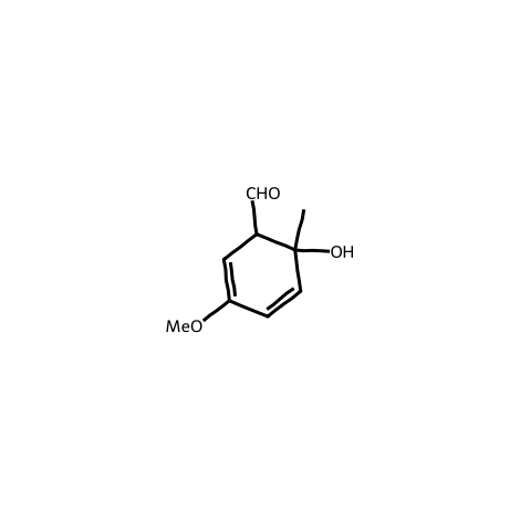 COC1=CC(C=O)C(C)(O)C=C1